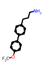 NCCCc1ccc(-c2ccc(OC(F)(F)F)cc2)cc1